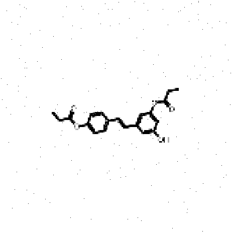 CCC(=O)Oc1ccc(C=Cc2cc(O)cc(OC(=O)CC)c2)cc1